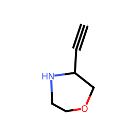 [C]#CC1COCCN1